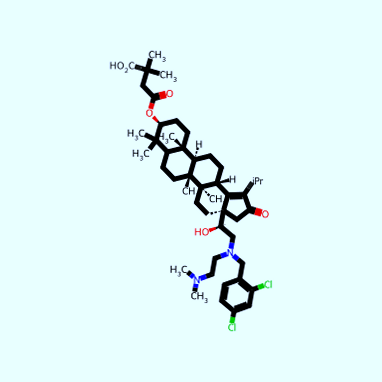 CC(C)C1=C2[C@H]3CC[C@@H]4[C@@]5(C)CC[C@H](OC(=O)CC(C)(C)C(=O)O)C(C)(C)C5CC[C@@]4(C)[C@]3(C)CC[C@@]2([C@H](O)CN(CCN(C)C)Cc2ccc(Cl)cc2Cl)CC1=O